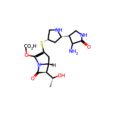 C[C@@H](O)[C@H]1C(=O)N2C(OC(=O)O)=C(S[C@@H]3CN[C@H](C4CNC(=O)C4N)C3)C[C@H]12